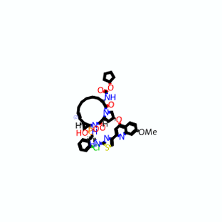 COc1ccc2c(O[C@@H]3C[C@H]4C(=O)N[C@]5(P(=O)(O)Cc6ccccc6Cl)C[C@H]5/C=C\CCCCC[C@H](NC(=O)OC5CCCC5)C(=O)N4C3)cc(-c3csc(NC(C)C)n3)nc2c1